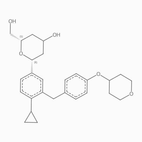 OC[C@@H]1CC(O)C[C@H](c2ccc(C3CC3)c(Cc3ccc(OC4CCOCC4)cc3)c2)O1